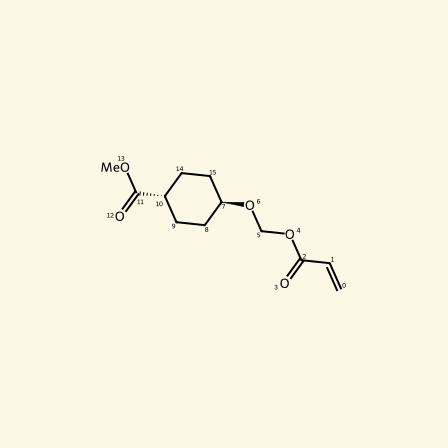 C=CC(=O)OCO[C@H]1CC[C@H](C(=O)OC)CC1